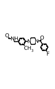 Cc1cc(CNC=O)ccc1N1CCN(C(=O)c2ccc(F)cc2)CC1